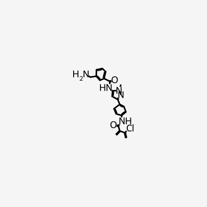 C=C(Cl)C(=C)C(=O)Nc1ccc(-c2cc(NC(=O)c3cccc(CN)c3)n(C)n2)cc1